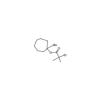 CCC(C)(C)C(=O)OC1(C(C)(C)C)CCCCCC1